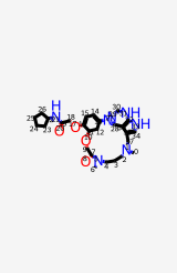 CN1CCCN(C)C(=O)COC2CC(=CC=C2OCC(=O)NC2CCCC2)/N=C2\N=CNc3[nH]cc(c32)C1